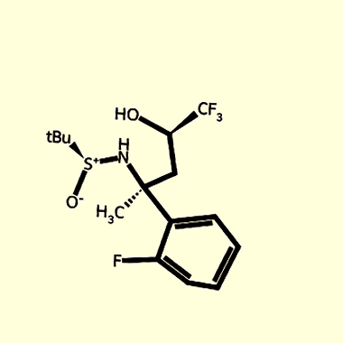 CC(C)(C)[S@+]([O-])N[C@@](C)(C[C@@H](O)C(F)(F)F)c1ccccc1F